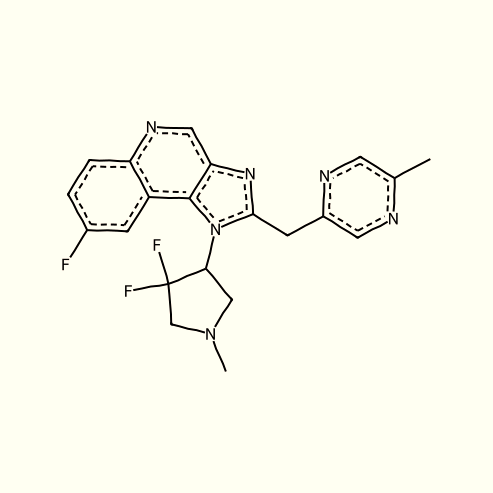 Cc1cnc(Cc2nc3cnc4ccc(F)cc4c3n2C2CN(C)CC2(F)F)cn1